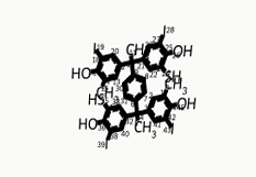 Cc1cc(C(C)(c2ccc(C(C)(c3cc(C)c(O)c(I)c3)c3cc(S)c(O)c(I)c3)cc2)c2cc(S)c(O)c(I)c2)cc(I)c1O